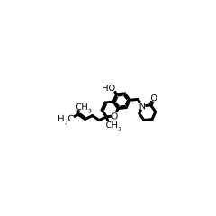 CC(C)=CCCC1(C)C=Cc2c(O)cc(CN3CCCCC3=O)cc2O1